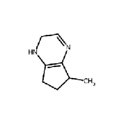 CC1CCC2=C1N=CCN2